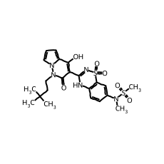 CN(c1ccc2c(c1)S(=O)(=O)N=C(c1c(O)c3cccn3n(CCC(C)(C)C)c1=O)N2)S(C)(=O)=O